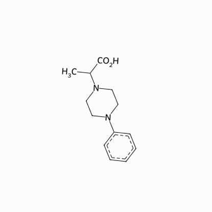 CC(C(=O)O)N1CCN(c2ccccc2)CC1